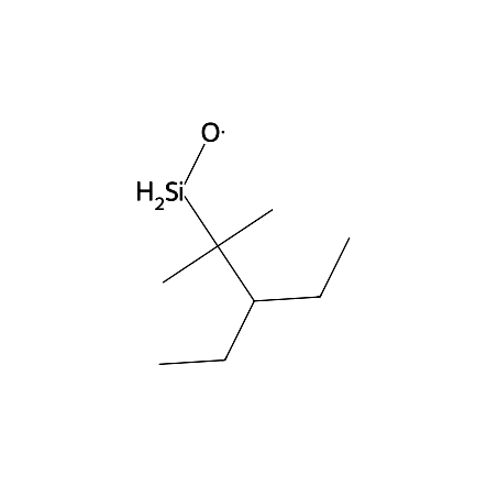 CCC(CC)C(C)(C)[SiH2][O]